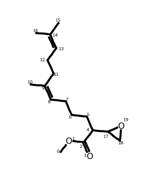 COC(=O)C(CCCC=C(C)CCC=C(C)C)C1CO1